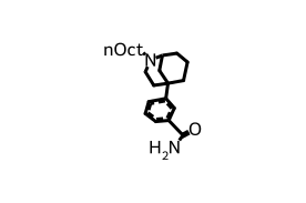 CCCCCCCCN1CCC2(c3cccc(C(N)=O)c3)CCCC1C2